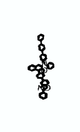 c1ccc(-c2ccc(-c3ccc(N(c4ccccc4)c4cc5ccccc5c5c4oc4cc(-c6ccc7oc(-c8ccccc8)nc7c6)ccc45)cc3)cc2)cc1